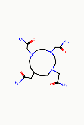 NC(=O)CC1CCN(CC(N)=O)CCN(CC(N)=O)CCN(CC(N)=O)CC1